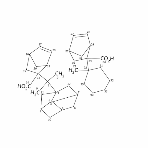 CC(C)(C12CC3CC(CC(C3)C1)C2)C1(C(=O)O)CC2C=CC1C2.CC1(C2(C(=O)O)CC3C=CC2C3)CCCCC1